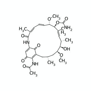 CO[C@H]1/C=C/C=C(/C)C(=O)NC2=CC(=O)C(NC(C)=O)=C(C[C@@H](C)C[C@H](OC)[C@H](O)[C@@H](C)/C=C(\C)[C@@H]1OC(N)=O)C2=O